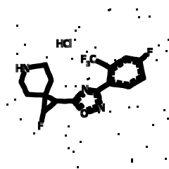 Cl.Fc1ccc(-c2noc(C3C(F)C34CCNCC4)n2)c(C(F)(F)F)c1